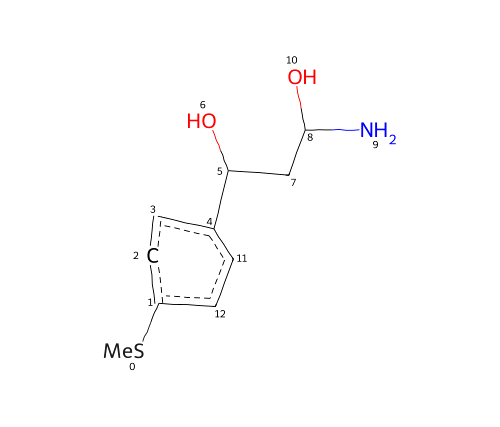 CSc1ccc(C(O)CC(N)O)cc1